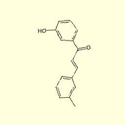 Cc1cccc(/C=C/C(=O)c2cccc(O)c2)c1